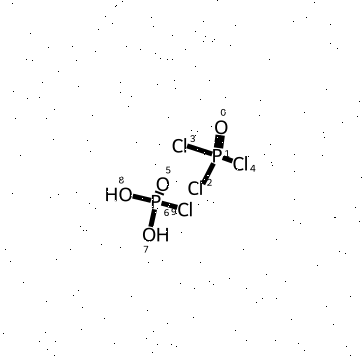 O=P(Cl)(Cl)Cl.O=P(O)(O)Cl